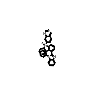 S=P(c1ccncc1)(c1ccc2cncnc2c1)c1cccc2c1c1ccccc1n1c3ccccc3nc21